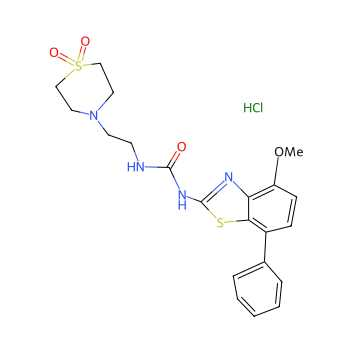 COc1ccc(-c2ccccc2)c2sc(NC(=O)NCCN3CCS(=O)(=O)CC3)nc12.Cl